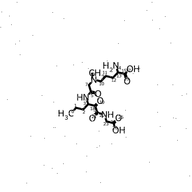 CCCC(NC(=O)CN(C)CCCC(N)C(=O)O)C(=O)C(=O)NCC(=O)O